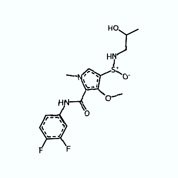 COc1c([S+]([O-])NCC(C)O)cn(C)c1C(=O)Nc1ccc(F)c(F)c1